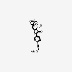 COCC#Cc1ccc(N2CC(CC(C)(C(=O)O)S(C)(=O)=O)OC2=O)cc1